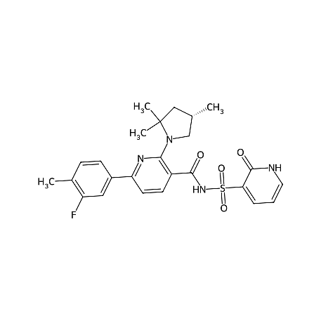 Cc1ccc(-c2ccc(C(=O)NS(=O)(=O)c3ccc[nH]c3=O)c(N3C[C@@H](C)CC3(C)C)n2)cc1F